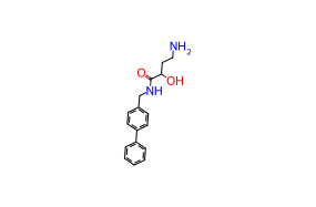 NCCC(O)C(=O)NCc1ccc(-c2ccccc2)cc1